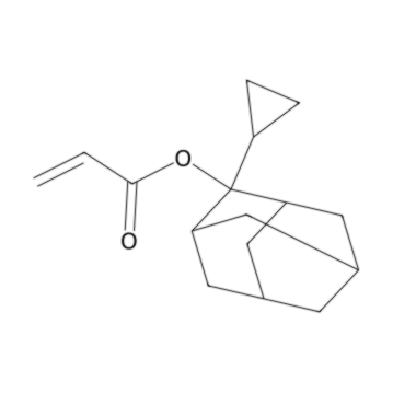 C=CC(=O)OC1(C2CC2)C2CC3CC(C2)CC1C3